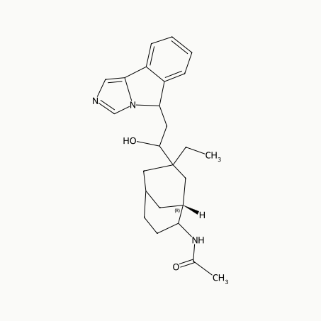 CCC1(C(O)CC2c3ccccc3-c3cncn32)CC2CCC(NC(C)=O)[C@H](C2)C1